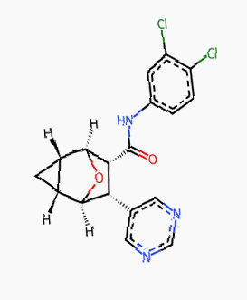 O=C(Nc1ccc(Cl)c(Cl)c1)[C@H]1[C@H]2O[C@H]([C@@H]3C[C@@H]32)[C@H]1c1cncnc1